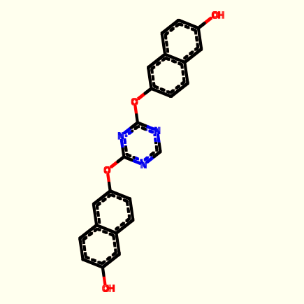 Oc1ccc2cc(Oc3ncnc(Oc4ccc5cc(O)ccc5c4)n3)ccc2c1